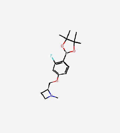 CN1CC[C@H]1COc1ccc(B2OC(C)(C)C(C)(C)O2)c(F)c1